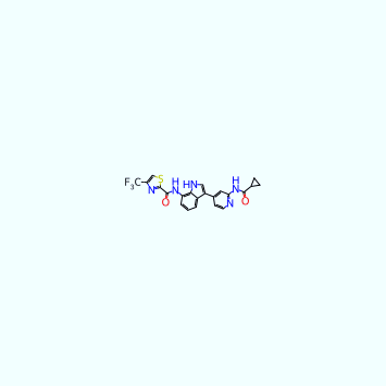 O=C(Nc1cccc2c(-c3ccnc(NC(=O)C4CC4)c3)c[nH]c12)c1nc(C(F)(F)F)cs1